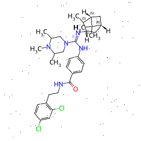 CC1CN(/C(=N/[C@H]2C[C@H]3C[C@@H]([C@@H]2C)C3(C)C)Nc2ccc(C(=O)NCCc3ccc(Cl)cc3Cl)cc2)CC(C)N1C